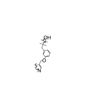 CC(C)(Cc1cccc(OCc2cncs2)c1)[Si](C)(C)O